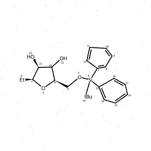 CC[C@@H]1O[C@H](CO[Si](c2ccccc2)(c2ccccc2)C(C)(C)C)C(O)[C@@H]1O